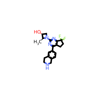 C[C@H]1[C@H](O)CN1c1nc(-c2ccc3c(c2)CCNC3)c2c(n1)C(F)(F)CC2